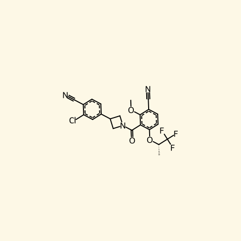 COc1c(C#N)ccc(O[C@@H](C)C(F)(F)F)c1C(=O)N1CC(c2ccc(C#N)c(Cl)c2)C1